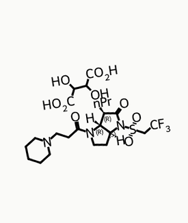 CCC[C@H]1C(=O)N(S(=O)(=O)CC(F)(F)F)[C@H]2CCN(C(=O)CCN3CCCCC3)[C@H]12.O=C(O)C(O)C(O)C(=O)O